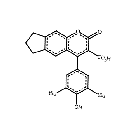 CC(C)(C)c1cc(-c2c(C(=O)O)c(=O)oc3cc4c(cc23)CCC4)cc(C(C)(C)C)c1O